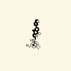 CC(C)(C)OC(=O)NCc1ccc(C2CC2)c(C(=O)C2CCC(c3ccc4ccsc4c3)CC2)n1